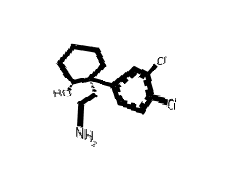 NCC[C@@]1(c2ccc(Cl)c(Cl)c2)CCCC[C@H]1O